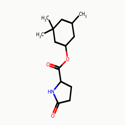 CC1CC(OC(=O)C2CCC(=O)N2)CC(C)(C)C1